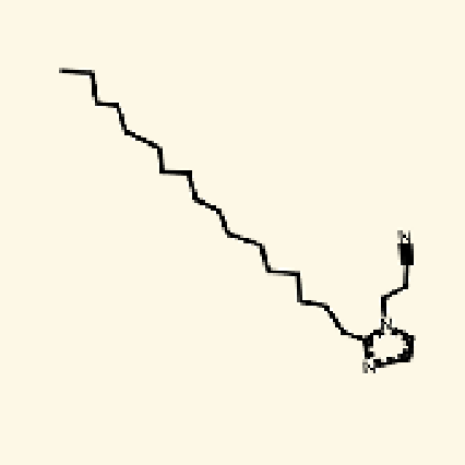 CCCCCCCCCCCCCCCCCc1nccn1CCC#N